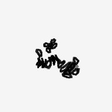 C1=CN(c2cccc(N3C=CN(Cc4ccccc4)C3)c2)CN1Cc1ccccc1.c1ccc([B-](c2ccccc2)(c2ccccc2)c2ccccc2)cc1.c1ccc([B-](c2ccccc2)(c2ccccc2)c2ccccc2)cc1